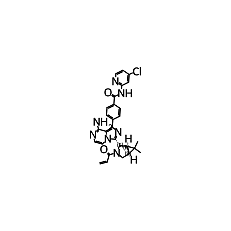 C=CC(=O)N1C[C@H]2[C@@H]([C@H]1c1nc(-c3ccc(C(=O)Nc4cc(Cl)ccn4)cc3)c3c(N)nccn13)C2(C)C